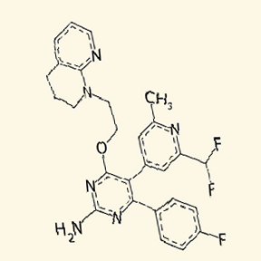 Cc1cc(-c2c(OCCN3CCCc4cccnc43)nc(N)nc2-c2ccc(F)cc2)cc(C(F)F)n1